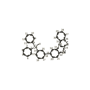 C[Si](c1ccccc1)(c1ccccc1)c1cccc(-c2ccc3nc4sc5ccccc5n4c3c2)c1